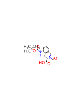 CC(C)(C)OC(=O)Nc1cccc2c1CC(C(=O)O)N(C=O)C2